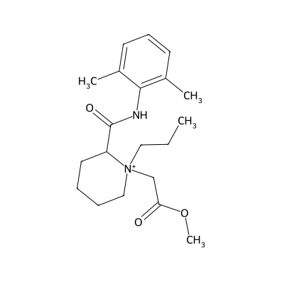 CCC[N+]1(CC(=O)OC)CCCCC1C(=O)Nc1c(C)cccc1C